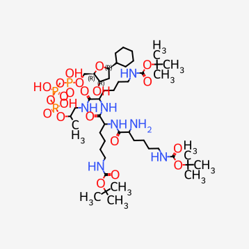 CC(CNC(=O)C(CCCCNC(=O)OC(C)(C)C)NC(=O)C(CCCCNC(=O)OC(C)(C)C)NC(=O)C(N)CCCCNC(=O)OC(C)(C)C)OP(=O)(O)OP(=O)(O)OP(=O)(O)OC[C@H]1O[C@@H](C2CCCCC2)C[C@H]1O